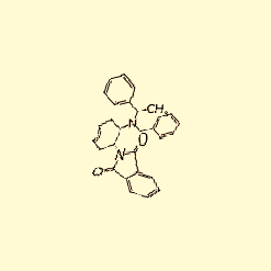 C[C@H](c1ccccc1)N(Cc1ccccc1)[C@@H]1CC=CC[C@H]1N1C(=O)c2ccccc2C1=O